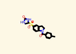 Cc1ccc(C(=O)N2CCc3cc(S(=O)(=O)C4CNC(=O)N4)ccc32)cc1